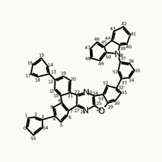 c1ccc(-c2ccc3c(c2)c2cc(-c4ccccc4)ccc2c2nc4c(nc32)oc2ccc(-c3cccc(-n5c6ccccc6c6ccccc65)c3)cc24)cc1